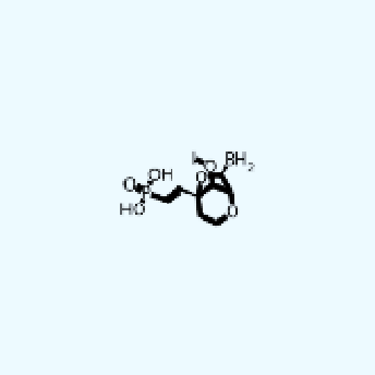 B[C@@H]1O[C@@]2(/C=C/P(=O)(O)O)CCOC1C2OI